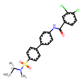 CC(C)[C@@H](C(=O)O)N(C)S(=O)(=O)c1ccc(-c2ccc(NC(=O)c3ccc(Cl)c(Cl)c3)cc2)cc1